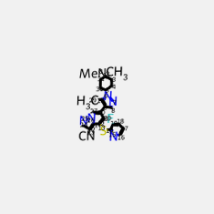 CN[C@]1(C)CC[C@H](n2ncc(-c3cc(Sc4ncccc4F)c4c(C#N)cnn4c3)c2C)CC1